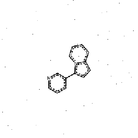 c1cncc(-c2ccc3ccccn23)c1